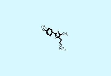 Cc1nc(-c2ccc(OC(F)(F)F)cc2)sc1CCO[N+](=O)[O-]